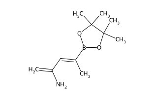 C=C(N)/C=C(\C)B1OC(C)(C)C(C)(C)O1